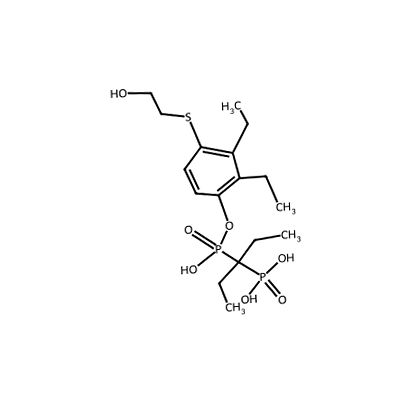 CCc1c(OP(=O)(O)C(CC)(CC)P(=O)(O)O)ccc(SCCO)c1CC